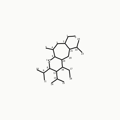 CCC1CC(C)C2SC(C(C)C)C(C(C)C)C(CC)C2CC1C(C)C